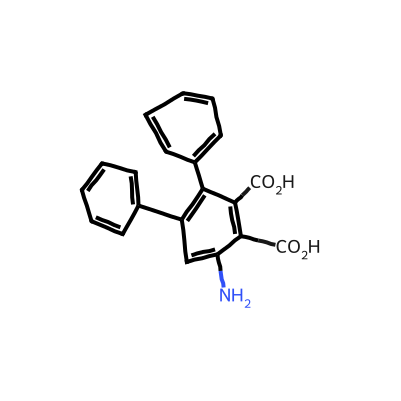 Nc1cc(-c2ccccc2)c(-c2ccccc2)c(C(=O)O)c1C(=O)O